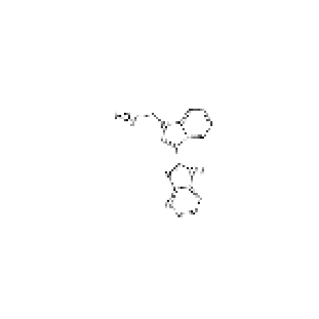 O=C(O)Cn1cc(-c2nc3ncccc3[nH]2)c2ccccc21